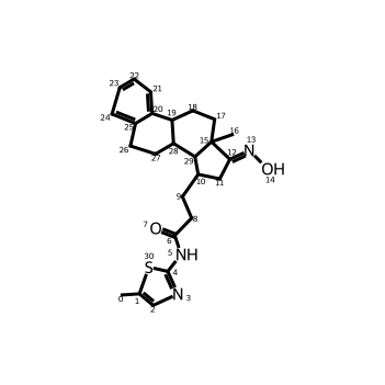 Cc1cnc(NC(=O)CCC2C/C(=N\O)C3(C)CCC4c5ccccc5CCC4C23)s1